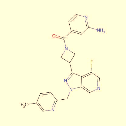 Nc1cc(C(=O)N2CC(c3nn(Cc4ccc(C(F)(F)F)cn4)c4cncc(F)c34)C2)ccn1